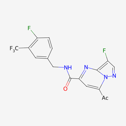 CC(=O)c1cc(C(=O)NCc2ccc(F)c(C(F)(F)F)c2)nc2c(F)cnn12